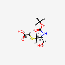 CC(C)(C)OC(=O)N[C@H](CO)C(C)(C)SCC(=O)O